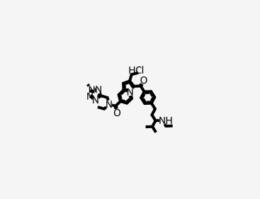 CCNC(CCc1ccc(C(=O)c2c(CC)cc3cc(C(=O)N(CC)Cc4nnn(C)n4)ccn23)cc1)C(C)C.Cl